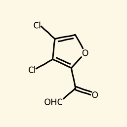 O=CC(=O)c1occ(Cl)c1Cl